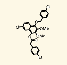 CCc1ccc(CC(=O)Oc2c(OC)c(OC)c(OCc3ccc(Cl)cc3)c3ccc(Cl)cc23)cc1